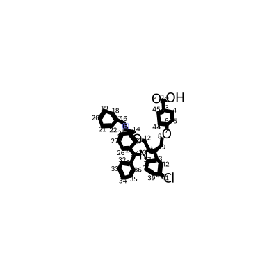 O=C(O)c1ccc(OCCc2c(COC/C=C/c3ccccc3)n(C(c3ccccc3)c3ccccc3)c3ccc(Cl)cc23)cc1